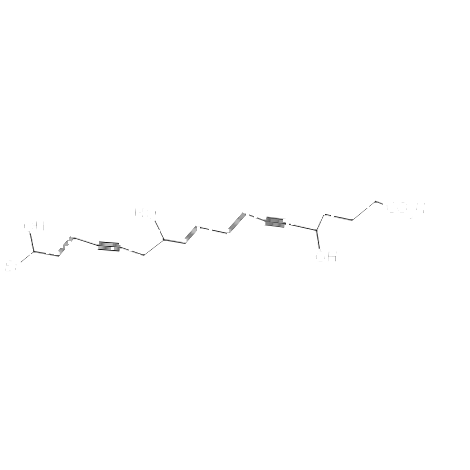 CCC(O)C=CC#CCC(O)C=CC=CC#CC(O)CCCC(=O)O